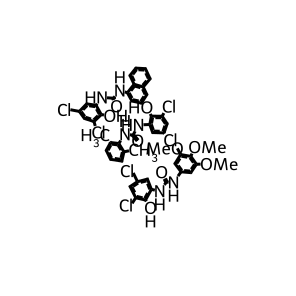 COc1cc(NC(=O)Nc2cc(Cl)cc(Cl)c2O)cc(OC)c1OC.Cc1cccc(C)c1NC(=O)Nc1cc(Cl)cc(Cl)c1O.O=C(Nc1cc(Cl)cc(Cl)c1O)Nc1cccc2ccccc12